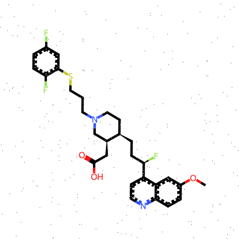 COc1ccc2nccc([C@H](F)CC[C@@H]3CCN(CCCSc4cc(F)ccc4F)C[C@@H]3CC(=O)O)c2c1